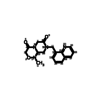 CN1OCC(=O)N2CC(=O)N(Cc3cccc4cccnc34)CC12